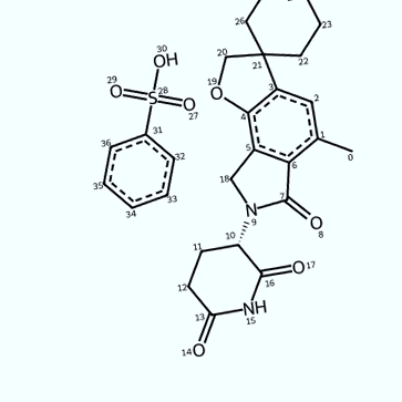 Cc1cc2c(c3c1C(=O)N([C@H]1CCC(=O)NC1=O)C3)OCC21CCNCC1.O=S(=O)(O)c1ccccc1